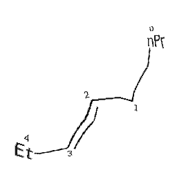 C[CH]CCC=CCC